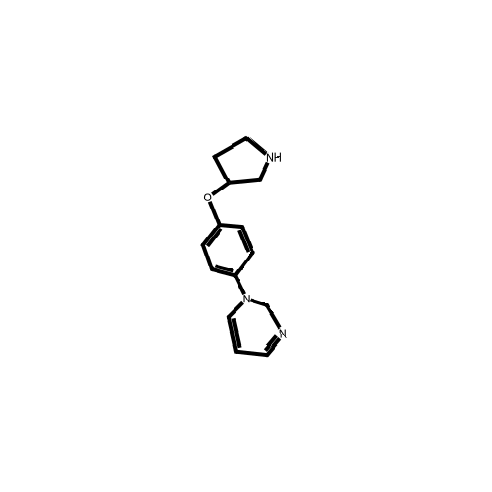 C1=CN(c2ccc(OC3CCNC3)cc2)CN=C1